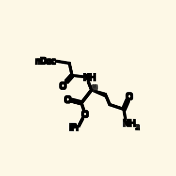 CCCCCCCCCCCC(=O)N[C@@H](CCC(N)=O)C(=O)OC(C)C